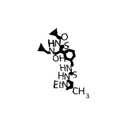 CCn1cc(C)cc1NC(=S)NCC1CCc2sc(NC(=O)C3CC3)c(C(O)NCC3CC3)c2C1